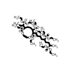 CCOP(=O)(OCC)C(C)CCC(CCCCC1C(P(=O)(OCC)OCC)CCC(C(CC)P(=O)(OCC)OCC)P(=O)(OCC)O/C=C\OP1(=O)OCC)P(=O)(OCC)OCC